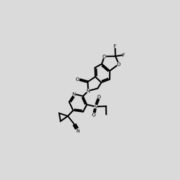 CCS(=O)(=O)c1cc(C2(C#N)CC2)cnc1N1Cc2cc3c(cc2C1=O)OC(F)(F)O3